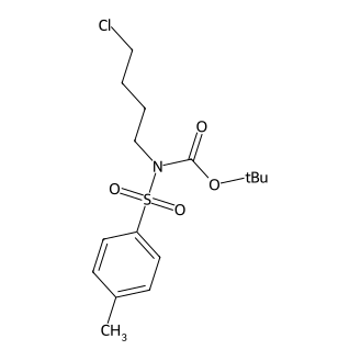 Cc1ccc(S(=O)(=O)N(CCCCCl)C(=O)OC(C)(C)C)cc1